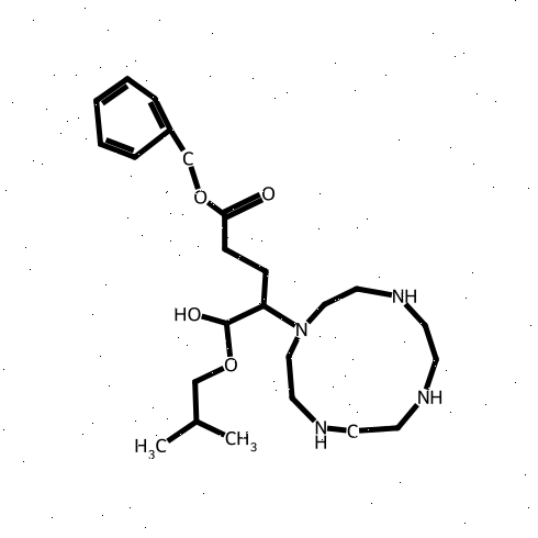 CC(C)COC(O)C(CCC(=O)OCc1ccccc1)N1CCNCCNCCNCC1